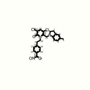 Cc1ccc2c(c1)CCN2Cc1c(Cl)cc(Cl)c(=O)n1CCc1ccc(C(=O)N=O)cc1